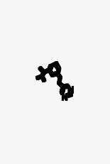 CC(C)C(C)c1cccc(CCc2cncnc2)c1